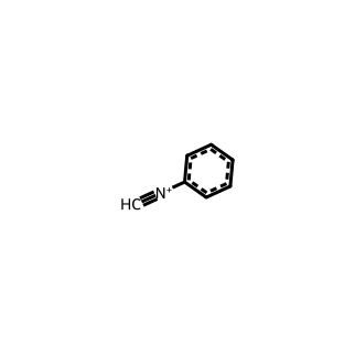 C#[N+]c1ccccc1